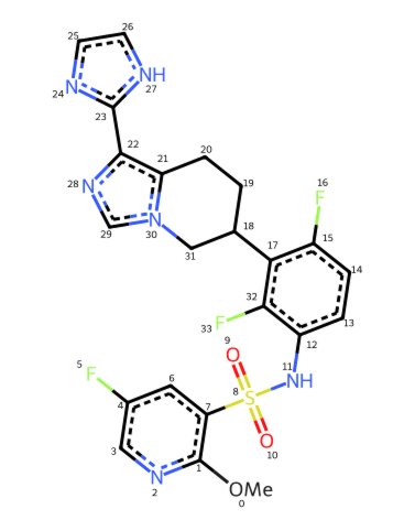 COc1ncc(F)cc1S(=O)(=O)Nc1ccc(F)c(C2CCc3c(-c4ncc[nH]4)ncn3C2)c1F